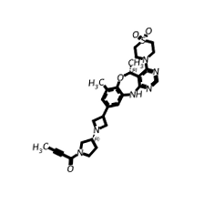 CC#CC(=O)N1CC[C@@H](N2CC(c3cc(C)c4c(c3)Nc3ncnc(N5CCS(=O)(=O)CC5)c3[C@@H](C)O4)C2)C1